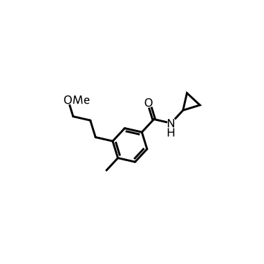 COCCCc1cc(C(=O)NC2CC2)ccc1C